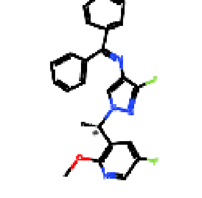 COc1ncc(F)cc1[C@H](C)n1cc(N=C(c2ccccc2)c2ccccc2)c(F)n1